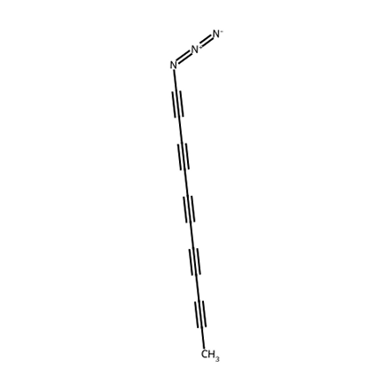 CC#CC#CC#CC#CC#CN=[N+]=[N-]